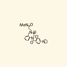 CNC(=O)CCN1Cc2ccccc2N(C(=O)c2ccc(N3CCCC3)cc2Cl)CC1=O